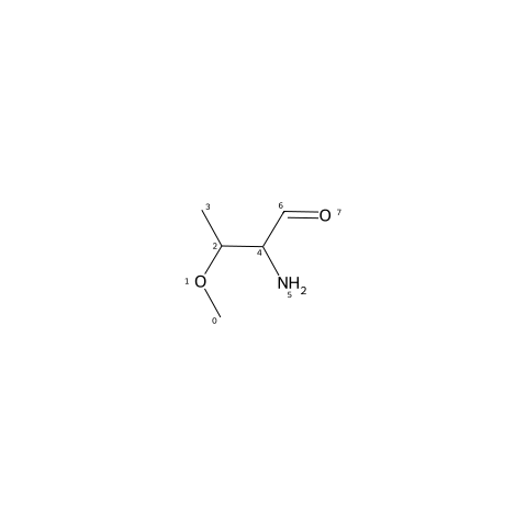 COC(C)C(N)C=O